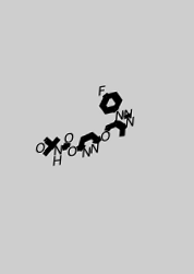 Cc1nnn(-c2ccc(F)cc2)c1COc1ccc(OC(=O)NC2(C)COC2)nn1